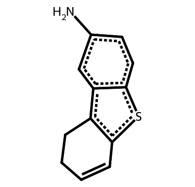 Nc1ccc2sc3c(c2c1)CCC=C3